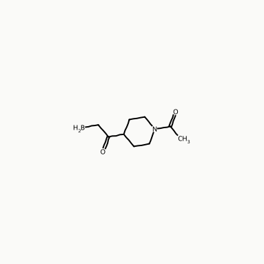 BCC(=O)C1CCN(C(C)=O)CC1